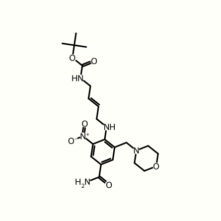 CC(C)(C)OC(=O)NC/C=C/CNc1c(CN2CCOCC2)cc(C(N)=O)cc1[N+](=O)[O-]